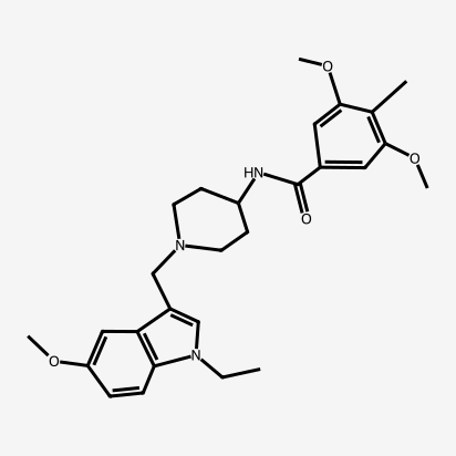 CCn1cc(CN2CCC(NC(=O)c3cc(OC)c(C)c(OC)c3)CC2)c2cc(OC)ccc21